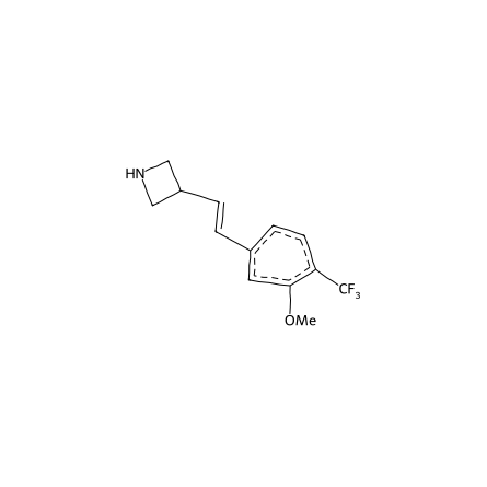 COc1cc(/C=C/C2CNC2)ccc1C(F)(F)F